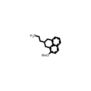 COc1ccc2cccc3c2c1CC(CCN)C3